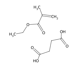 C=C(C)C(=O)OCC.O=C(O)CCC(=O)O